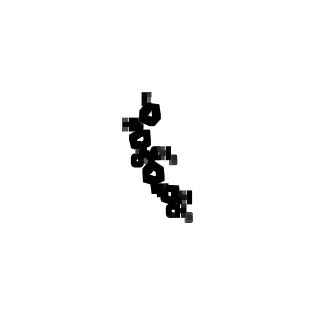 C[C@@H]1CN(Cc2ccc(N(C)C(=O)N3CCC(Nc4cccc(F)c4)CC3)cc2)CCN1